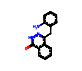 Nc1ccccc1Cc1n[nH]c(=O)c2ccccc12